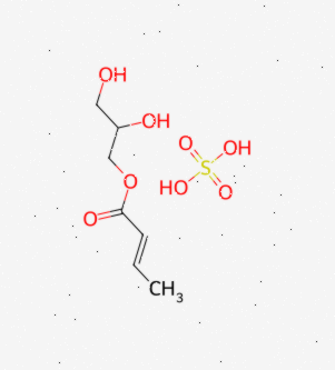 CC=CC(=O)OCC(O)CO.O=S(=O)(O)O